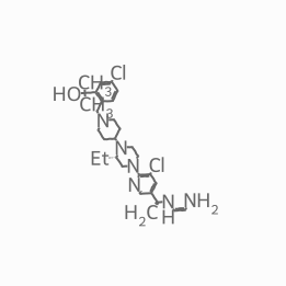 C=C(N/C=C\N)c1cnc(N2CCN(C3CCN(Cc4ccc(Cl)cc4C(C)(C)O)CC3)[C@@H](CC)C2)c(Cl)c1